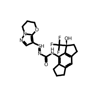 O=C(/N=[SH]/c1cnn2c1OCCC2)Nc1c2c(cc3c1[C@](O)(C(F)(F)F)CC3)CCC2